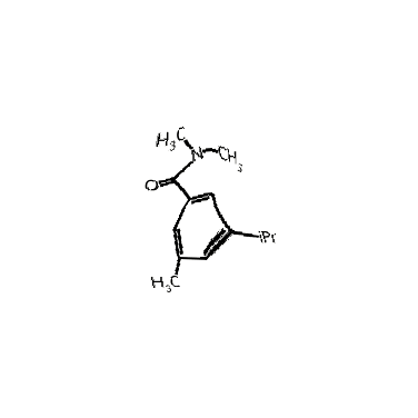 Cc1cc(C(=O)N(C)C)cc(C(C)C)c1